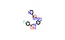 Cc1ccc(NCC(=O)c2ccc(F)cc2)cc1Nc1ncc(-c2cccnc2)o1